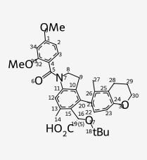 COc1ccc(C(=O)N2CCc3c2cc(C)c([C@H](OC(C)(C)C)C(=O)O)c3-c2ccc3c(c2C)CCCO3)c(OC)c1